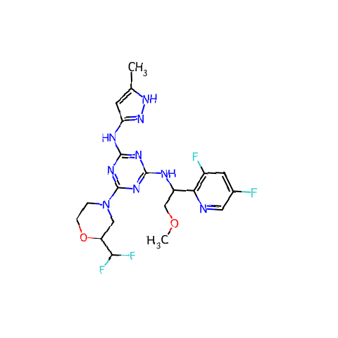 COCC(Nc1nc(Nc2cc(C)[nH]n2)nc(N2CCOC(C(F)F)C2)n1)c1ncc(F)cc1F